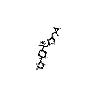 CC1(Cc2c[nH]c(CC(C)(O)c3ccc(-n4cccn4)cc3)n2)CC1